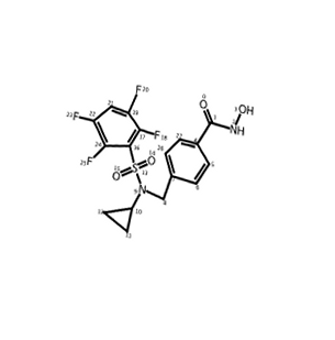 O=C(NO)c1ccc(CN(C2CC2)S(=O)(=O)c2c(F)c(F)cc(F)c2F)cc1